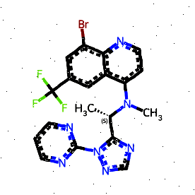 C[C@@H](c1ncnn1-c1ncccn1)N(C)c1ccnc2c(Br)cc(C(F)(F)F)cc12